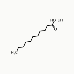 CCCCCCCCCCC(=O)O.[LiH]